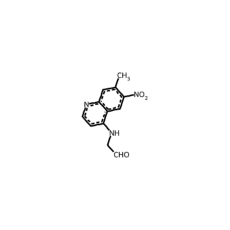 Cc1cc2nccc(NCC=O)c2cc1[N+](=O)[O-]